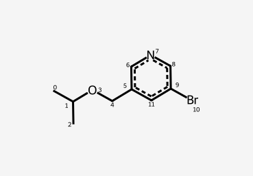 CC(C)OCc1cncc(Br)c1